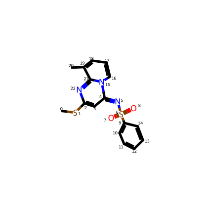 CSc1cc(=NS(=O)(=O)c2ccccc2)n2cccc(C)c2n1